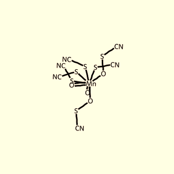 N#CS[O][Mn](=[O])(=[O])([O]SC#N)([S]C#N)([S]C#N)([S]C#N)[S]C#N